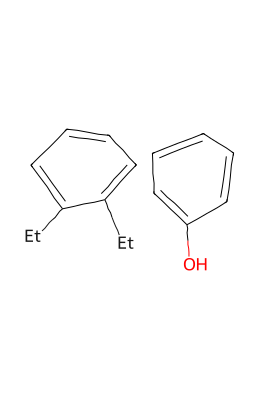 CCc1ccccc1CC.Oc1ccccc1